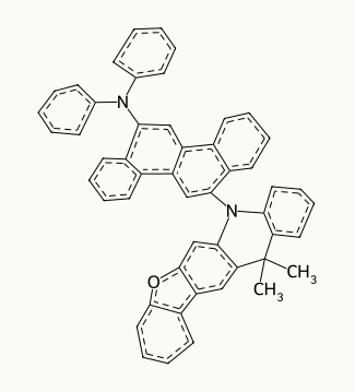 CC1(C)c2ccccc2N(c2cc3c4ccccc4c(N(c4ccccc4)c4ccccc4)cc3c3ccccc23)c2cc3oc4ccccc4c3cc21